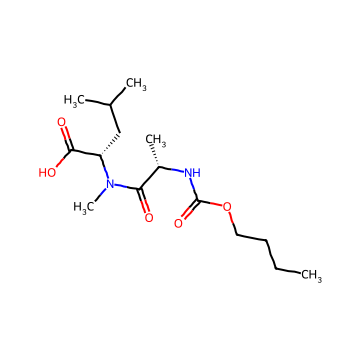 CCCCOC(=O)N[C@@H](C)C(=O)N(C)[C@@H](CC(C)C)C(=O)O